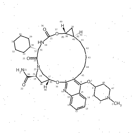 CN1CCC(Oc2c3c(nc4ccccc24)O[C@@H]2C[C@@H](C(N)=O)N(C2)C(=O)[C@H](C2CCCCC2)NC(=O)O[C@@H]2C[C@H]2CCCCC3)CC1